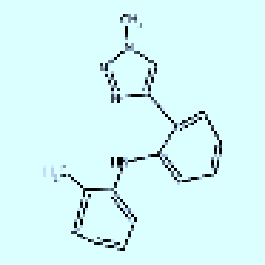 [CH2]c1ccccc1Nc1ccccc1-c1cn(C)nn1